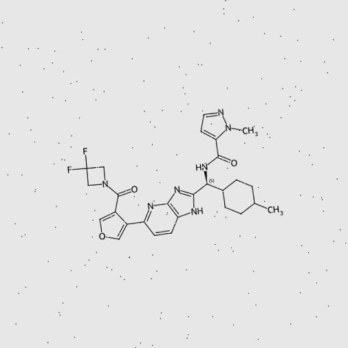 CC1CCC([C@H](NC(=O)c2ccnn2C)c2nc3nc(-c4cocc4C(=O)N4CC(F)(F)C4)ccc3[nH]2)CC1